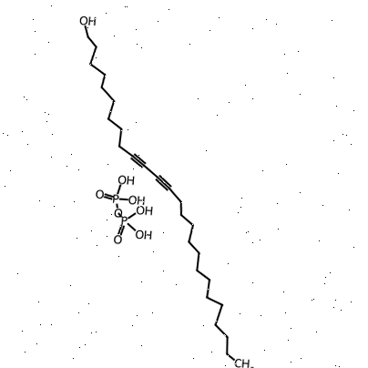 CCCCCCCCCCCCCC#CC#CCCCCCCCCCO.O=P(O)(O)OP(=O)(O)O